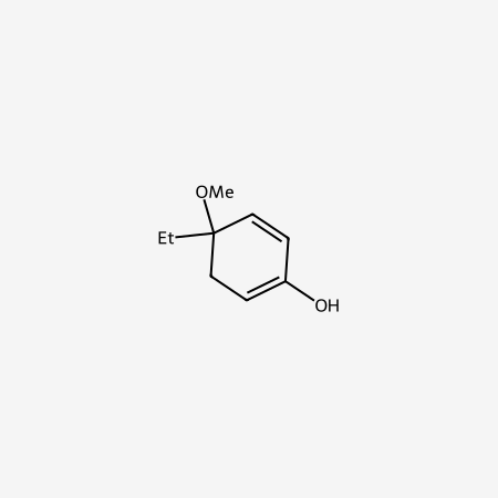 CCC1(OC)C=CC(O)=CC1